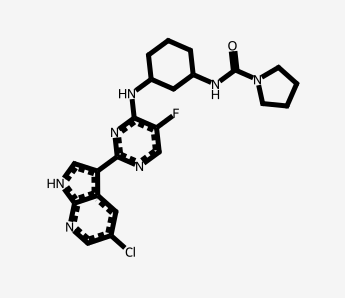 O=C(NC1CCCC(Nc2nc(-c3c[nH]c4ncc(Cl)cc34)ncc2F)C1)N1CCCC1